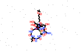 CC[C@H](C)[C@@H]1NC(=O)CNC(=O)C2Cc3c([nH]c4cc(OCCCCCC(=O)OC(C)(C)C)ccc34)[S@+]([O-])CC(NC(=O)CNC1=O)C(=O)N[C@@H](CC(N)=O)C(=O)N1C[C@H](O)C[C@H]1C(=O)N[C@@H]([C@@H](C)[C@@H](O)CO)C(=O)N2